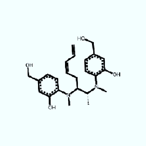 C=C/C=C\CC([C@@H](C)N(C)c1ccc(CO)cc1O)N(C)c1ccc(CO)cc1O